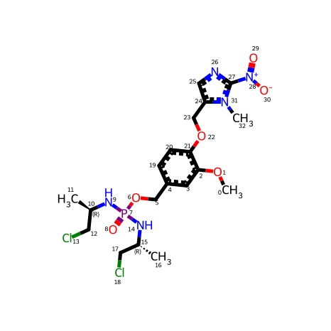 COc1cc(COP(=O)(N[C@H](C)CCl)N[C@H](C)CCl)ccc1OCc1cnc([N+](=O)[O-])n1C